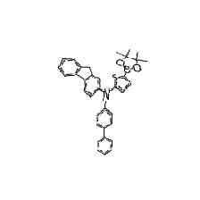 CC1(C)OB(c2ccc(N(c3ccc(-c4ccccc4)cc3)c3ccc4c(c3)Cc3ccccc3-4)s2)OC1(C)C